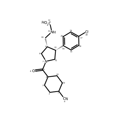 N#CC1CCC(C(=O)N2C[C@H](CNC(=O)O)[C@H](c3ccc(Cl)cc3)C2)CC1